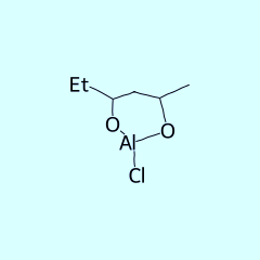 CCC1CC(C)[O][Al]([Cl])[O]1